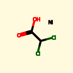 O=C(O)C(Cl)Cl.[Ni]